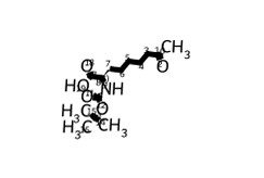 CC(=O)CCCCC[C@H](NC(=O)OC(C)(C)C)C(=O)O